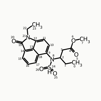 CCC(CC(=O)OC)N(c1ccc2c3c(cccc13)C(=O)N2CC)[SH](=O)=O